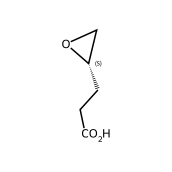 O=C(O)CC[C@H]1CO1